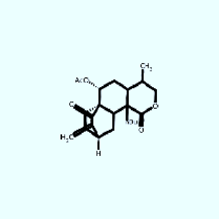 C=C1C(=O)[C@]23CC[C@H]1CC2C1(CCCC)C(=O)OCC(C)C1C[C@H]3OC(C)=O